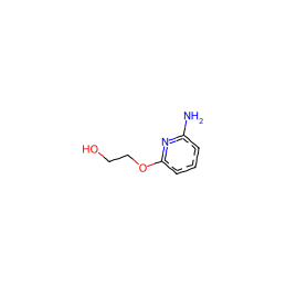 Nc1cccc(OCCO)n1